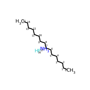 CCCCCCCCCCCCCCCC.F.N